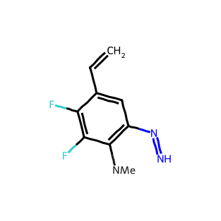 C=Cc1cc(N=N)c(NC)c(F)c1F